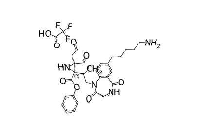 CC(CN1C(=O)CNC(=O)c2cc(CCCCCN)ccc21)[C@@]1(C(=O)Oc2ccccc2)NC1(C=O)CC=O.O=C(O)C(F)(F)F